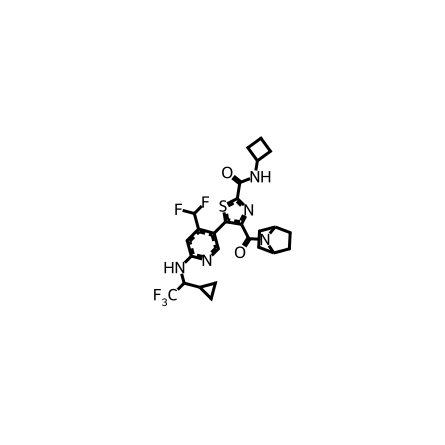 O=C(NC1CCC1)c1nc(C(=O)N2C3CCC2CC3)c(-c2cnc(NC(C3CC3)C(F)(F)F)cc2C(F)F)s1